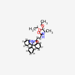 CCOC(OCC)[C@H](C)NC(=O)CCC(=O)NC(c1ccccc1)(c1ccccc1)c1ccccc1